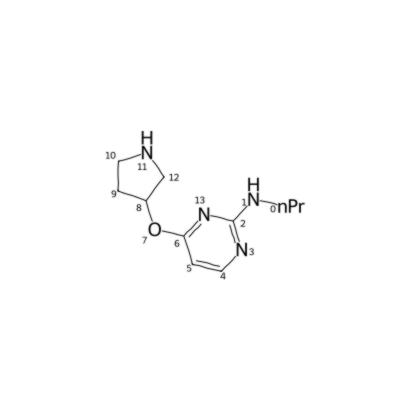 CCCNc1nccc(OC2CCNC2)n1